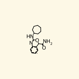 NC(=O)C1OC(NC2CCCCCC2)=Nc2cc[c]cc21